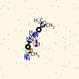 CC(Cn1cnnn1)Oc1cc(-c2cnc(Nc3cn(C4CCC(N5C[C@@H](C)O[C@@H](C)C5)CC4)nc3OCc3ncco3)nc2)ccc1Cl